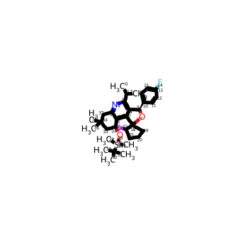 CC(C)c1nc2c(c3c1[C@@H](c1ccc(F)cc1)OC31CCCC1I)C(O[Si](C)(C)C(C)(C)C)CC(C)(C)C2